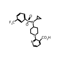 O=C(O)c1cccnc1N1CCC(N(C2CC2)S(=O)(=O)c2cccc(C(F)(F)F)c2)CC1